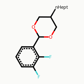 CCCCCCCC1COC(c2cccc(F)c2F)OC1